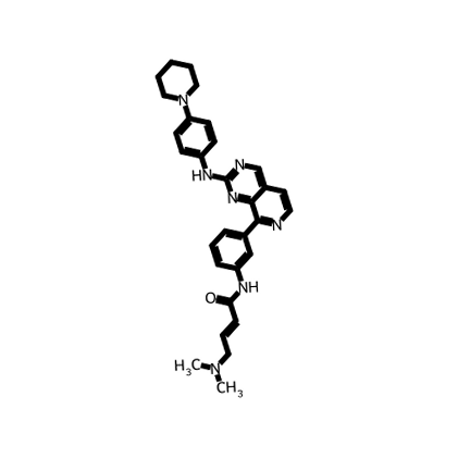 CN(C)C/C=C/C(=O)Nc1cccc(-c2nccc3cnc(Nc4ccc(N5CCCCC5)cc4)nc23)c1